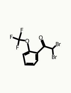 O=C(c1ccccc1OC(F)(F)F)C(Br)Br